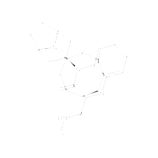 O=C(NO)c1nc2ccccc2n([C@H]2CC3CC[C@@H](C2)N3C2CCCCCCC2)c1=O